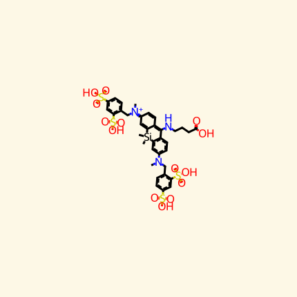 CN(Cc1ccc(S(=O)(=O)O)cc1S(=O)(=O)O)c1ccc2c(c1)[Si](C)(C)C1=C/C(=[N+](/C)Cc3ccc(S(=O)(=O)O)cc3S(=O)(=O)O)C=CC1=C2NCCCC(=O)O